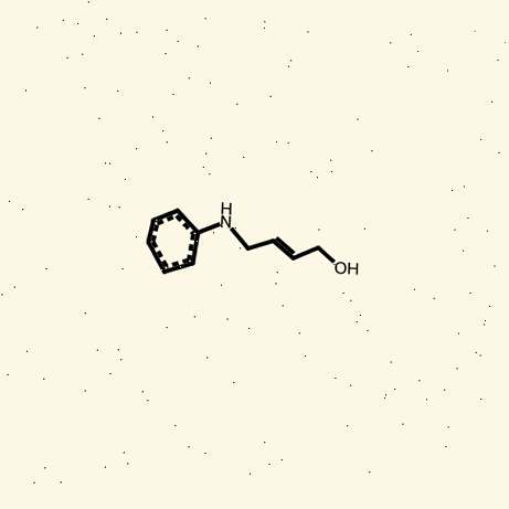 OC/C=C/CNc1ccccc1